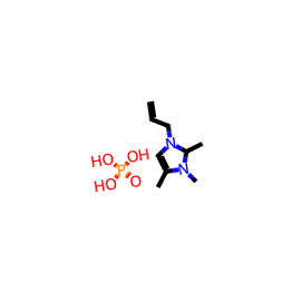 C=CCN1C=C(C)N(C)C1C.O=P(O)(O)O